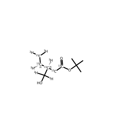 [2H][13CH]([2H])[13C@@H]([2H])[13C@@]([2H])([13CH2][13C](=O)OC(C)(C)C)C([2H])([2H])O